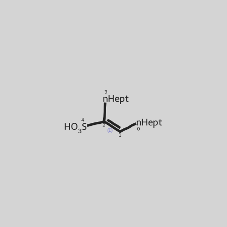 CCCCCCC/C=C(\CCCCCCC)S(=O)(=O)O